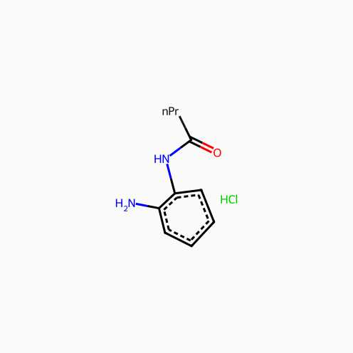 CCCC(=O)Nc1ccccc1N.Cl